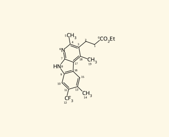 CCOC(=O)CCc1c(C)nc2[nH]c3cc(C(F)(F)F)c(C)cc3c2c1C